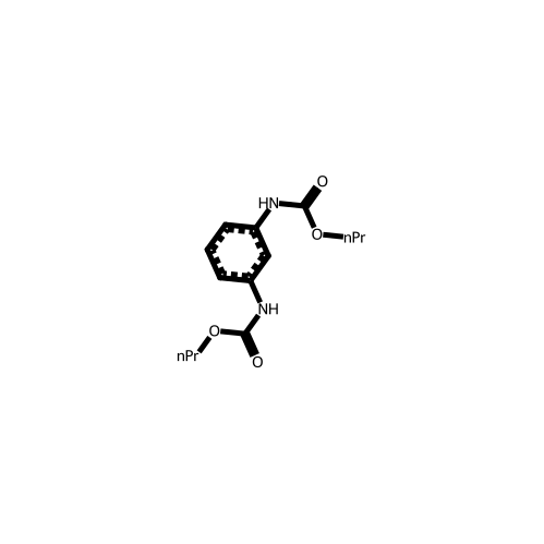 CCCOC(=O)Nc1cccc(NC(=O)OCCC)c1